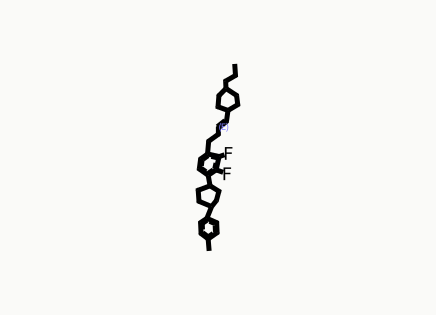 CCCC1CCC(/C=C/CCc2ccc(C3CCC(c4ccc(C)cc4)CC3)c(F)c2F)CC1